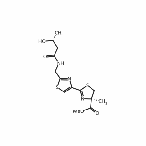 COC(=O)[C@]1(C)CSC(c2csc(CNC(=O)C[C@@H](C)O)n2)=N1